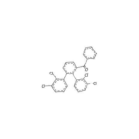 O=C(c1ccccc1)c1cccc(-c2cccc(Cl)c2Cl)c1-c1cccc(Cl)c1Cl